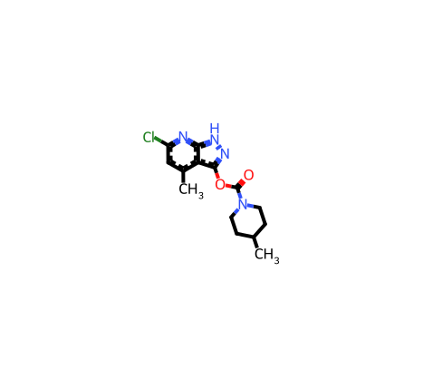 Cc1cc(Cl)nc2[nH]nc(OC(=O)N3CCC(C)CC3)c12